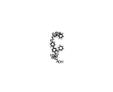 O=C(NS(=O)(=O)CCCO)c1ccc(-c2ccc(OCCN(C[C@H](O)c3ccccc3)C(=O)O)cc2)cc1OC1CCCCC1